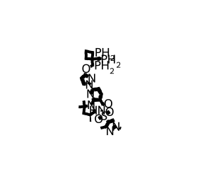 Cc1nn(C)cc1S(=O)(=O)NC(=O)c1ccc(-n2ccc(OCC3(C(P)(P)P)CCC3)n2)nc1N1C[C@@H](C)CC1(C)C